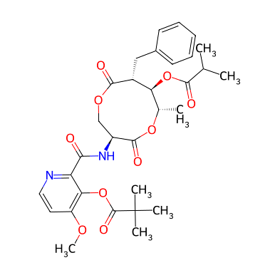 COc1ccnc(C(=O)N[C@H]2COC(=O)[C@H](Cc3ccccc3)[C@@H](OC(=O)C(C)C)[C@H](C)OC2=O)c1OC(=O)C(C)(C)C